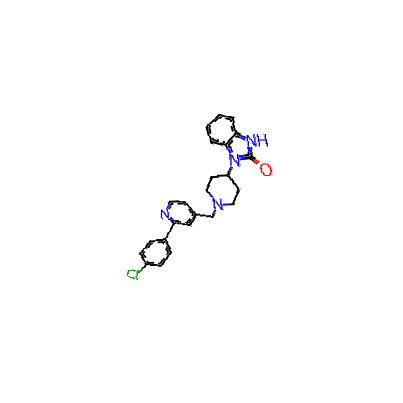 O=c1[nH]c2ccccc2n1C1CCN(Cc2ccnc(-c3ccc(Cl)cc3)c2)CC1